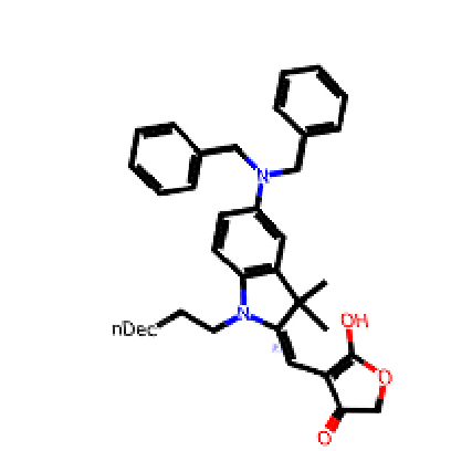 CCCCCCCCCCCCN1/C(=C/C2=C(O)OCC2=O)C(C)(C)c2cc(N(Cc3ccccc3)Cc3ccccc3)ccc21